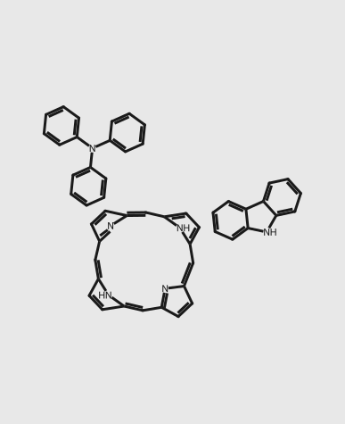 C1=Cc2cc3ccc(cc4nc(cc5ccc(cc1n2)[nH]5)C=C4)[nH]3.c1ccc(N(c2ccccc2)c2ccccc2)cc1.c1ccc2c(c1)[nH]c1ccccc12